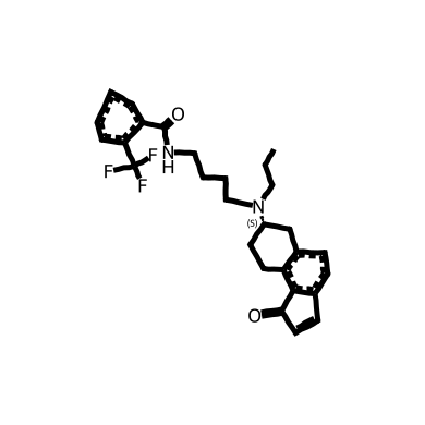 CCCN(CCCCNC(=O)c1ccccc1C(F)(F)F)[C@H]1CCc2c(ccc3c2C(=O)C=C3)C1